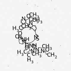 C=CC(=O)N1CCN(C(=O)N(C)C(C(=O)N[C@H]2Cc3nc(cs3)-c3ccc4c(c3)c(c(-c3cccnc3[C@H](C)OC)n4CC)CC(C)(C)COC(=O)[C@@H]3CCCN(N3)C2=O)C(C)C)C[C@H]1C